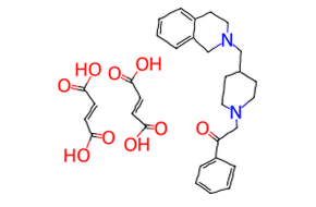 O=C(CN1CCC(CN2CCc3ccccc3C2)CC1)c1ccccc1.O=C(O)/C=C/C(=O)O.O=C(O)/C=C/C(=O)O